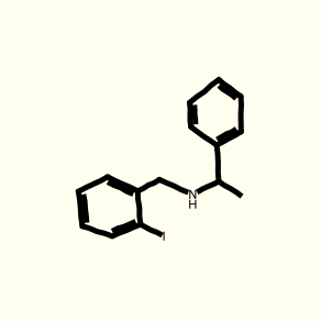 CC(NCc1ccccc1I)c1ccccc1